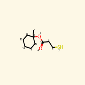 CC1(OC(=O)CCS)CCCCC1